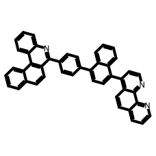 c1ccc2c(c1)ccc1c(-c3ccc(-c4ccc(-c5ccnc6c5ccc5cccnc56)c5ccccc45)cc3)nc3ccccc3c12